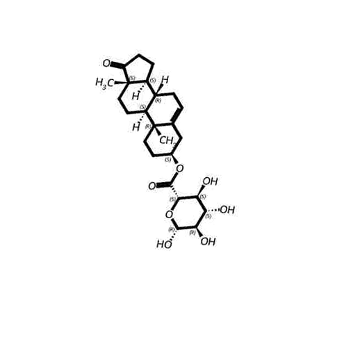 C[C@]12CC[C@H](OC(=O)[C@H]3O[C@@H](O)[C@H](O)[C@@H](O)[C@@H]3O)CC1=CC[C@@H]1[C@@H]2CC[C@]2(C)C(=O)CC[C@@H]12